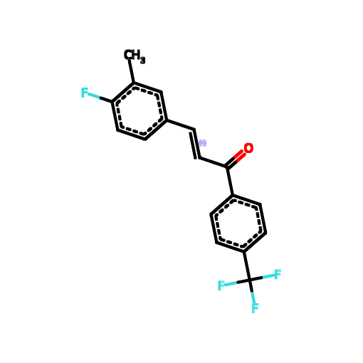 Cc1cc(/C=C/C(=O)c2ccc(C(F)(F)F)cc2)ccc1F